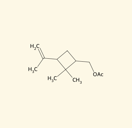 C=C(C)C1CC(COC(C)=O)C1(C)C